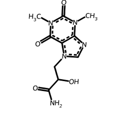 Cn1c(=O)c2c(ncn2CC(O)C(N)=O)n(C)c1=O